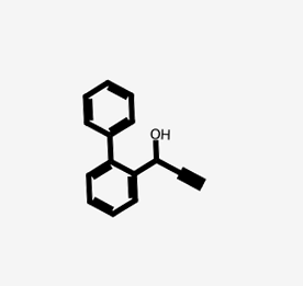 C#CC(O)c1ccccc1-c1ccccc1